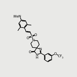 CNc1cc(C)c(C=CS(=O)(=O)N2CCC3(CC2)N=C(c2cccc(OC(F)(F)F)c2)NC3=O)c(C)c1